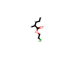 CCCC(C)C(=O)OCCF